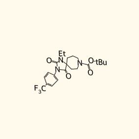 CCN1C(=O)N(c2ccc(C(F)(F)F)cc2)C(=O)C12CCCN(C(=O)OC(C)(C)C)CC2